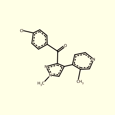 Cc1cnccc1-c1cn(C)nc1C(=O)c1ccc(Cl)cc1